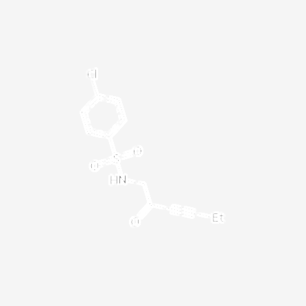 CCC#CC(=O)CNS(=O)(=O)c1ccc(Cl)cc1